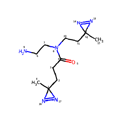 CC1(CCC(=O)N(CCN)CCC2(C)N=N2)N=N1